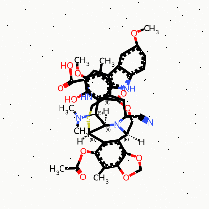 COc1ccc2[nH]c3c(c2c1)CC(C(=O)O)N[C@]31CS[C@@H]2c3c(OC(C)=O)c(C)c4c(c3[C@H](COC1=O)N1C(C#N)Cc3cc(C)c(OC)c(O)c3[C@H](N(C)C)[C@H]21)OCO4